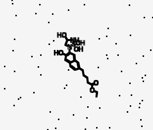 CCOC(=O)CCCCc1ccc2cc(O)c(N3CC(O)NS3(O)O)cc2c1